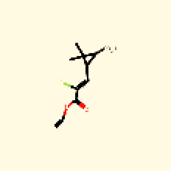 C=COC(=O)/C(F)=C/C1C(C(=O)O)C1(C)C